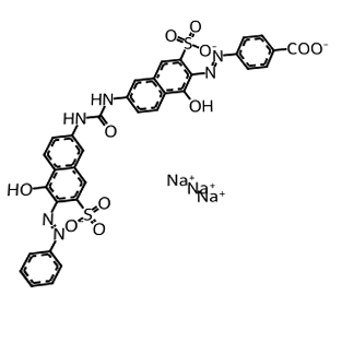 O=C(Nc1ccc2c(O)c(N=Nc3ccccc3)c(S(=O)(=O)[O-])cc2c1)Nc1ccc2c(O)c(N=Nc3ccc(C(=O)[O-])cc3)c(S(=O)(=O)[O-])cc2c1.[Na+].[Na+].[Na+]